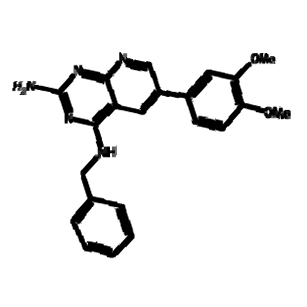 COc1ccc(-c2cnc3nc(N)nc(NCc4ccccc4)c3c2)cc1OC